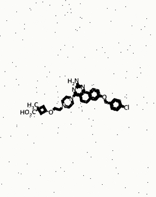 C[C@]1(C(=O)O)C[C@H](OCCN2CCN(c3nc(N)nc4c3CCc3cc(OCc5ccc(Cl)cc5)ccc3-4)CC2)C1